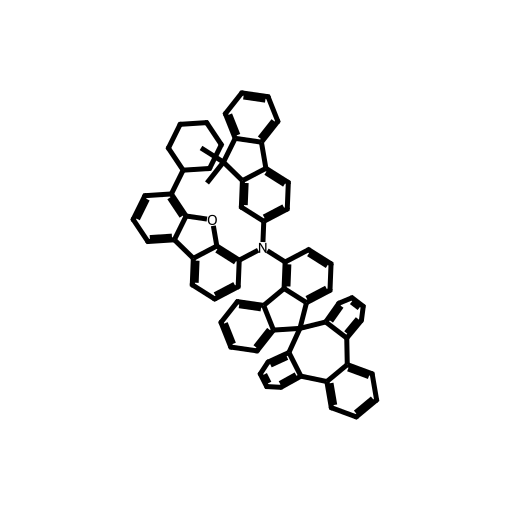 CC1(C)c2ccccc2-c2ccc(N(c3cccc4c3-c3ccccc3C43c4ccccc4-c4ccccc4-c4ccccc43)c3cccc4c3oc3c(C5CCCCC5)cccc34)cc21